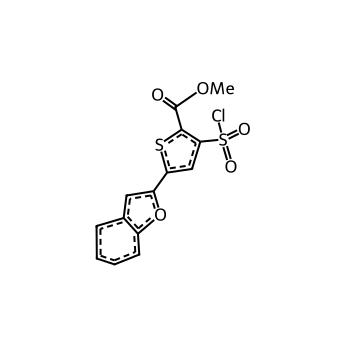 COC(=O)c1sc(-c2cc3ccccc3o2)cc1S(=O)(=O)Cl